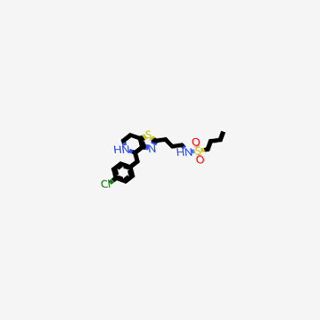 CCCCS(=O)(=O)NCCCc1nc2c(s1)CCNC2Cc1ccc(Cl)cc1